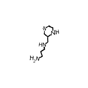 NCCCNCC1C[N]CCN1